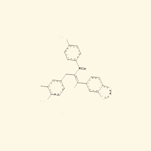 COc1ccc(C(=O)/C(Cc2ccc(OC)c(F)c2)=C(/C(=O)[O-])c2ccc3nonc3c2)cc1.[Na+]